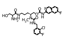 CN(C(=O)NCc1cccc(F)c1Cl)[C@@H](CCCNC(=O)C(N)CO)COC(=O)Nc1cc2cc(F)ccc2cn1